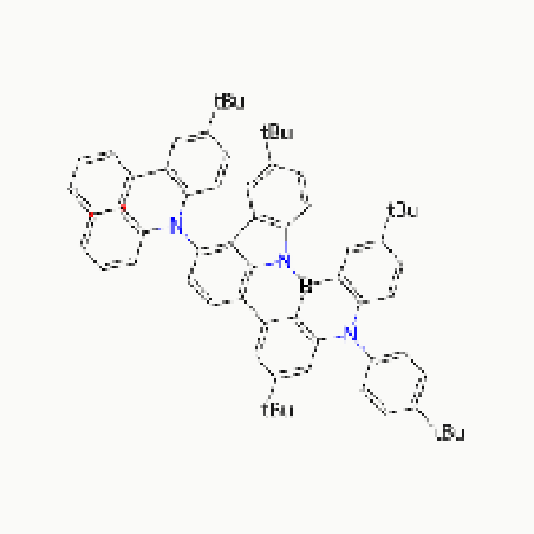 CC(C)(C)c1ccc(N2c3ccc(C(C)(C)C)cc3B3c4c(cc(C(C)(C)C)cc42)-c2ccc(N(c4ccccc4)c4ccc(C(C)(C)C)cc4-c4ccccc4)c4c5cc(C(C)(C)C)ccc5n3c24)cc1